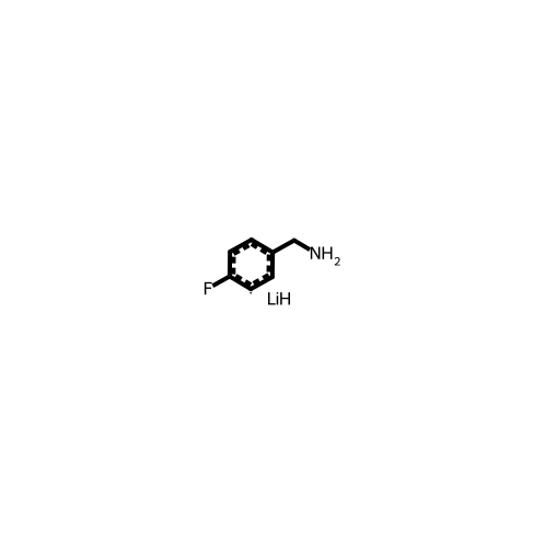 NCc1c[c]c(F)cc1.[LiH]